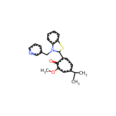 COc1cc(C(C)C)ccc(C2Sc3ccccc3N2Cc2cccnc2)c1=O